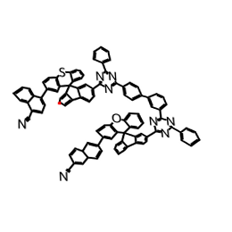 N#CC1=CC2C=CC(c3ccc4c(c3)C3(c5ccccc5O4)c4ccccc4-c4ccc(-c5nc(-c6ccccc6)nc(-c6cccc(-c7ccc(-c8nc(-c9ccccc9)nc(-c9ccc%10c(c9)C9(c%11ccccc%11Sc%11ccc(-c%12ccc(C#N)c%13ccccc%12%13)cc%119)c9ccccc9-%10)n8)cc7)c6)n5)cc43)=CC2C=C1